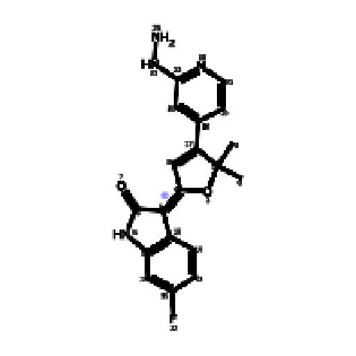 CC1(C)O/C(=C2/C(=O)Nc3cc(F)ccc32)C=C1c1ccnc(NN)c1